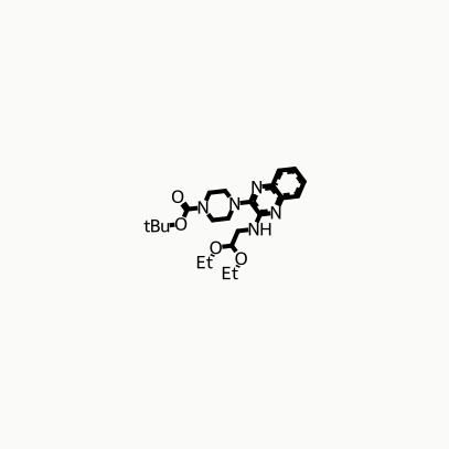 CCOC(CNc1nc2ccccc2nc1N1CCN(C(=O)OC(C)(C)C)CC1)OCC